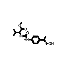 COC(=O)C(NC(=O)Nc1ccc(/C(C)=N/O)cc1)C(C)C